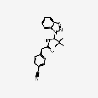 CC(C)(C)C(NC(=O)Cc1ccc(C#N)cc1)n1nnc2ccccc21